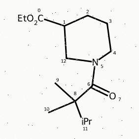 CCOC(=O)C1CCCN(C(=O)C(C)(C)C(C)C)C1